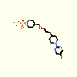 CS(=O)(=O)N1CCC(COCCCC2CCN(c3ncc(Cl)cn3)CC2)CC1